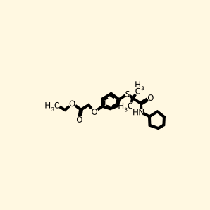 CCOC(=O)COc1ccc(SC(C)(C)C(=O)NC2CCCCC2)cc1